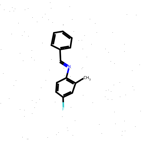 Cc1cc(F)ccc1/N=C/c1ccccc1